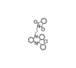 O=C1c2ccccc2C(=O)N1CCCN1c2ccccc2N=C(c2ccccc2Cl)c2ccccc21